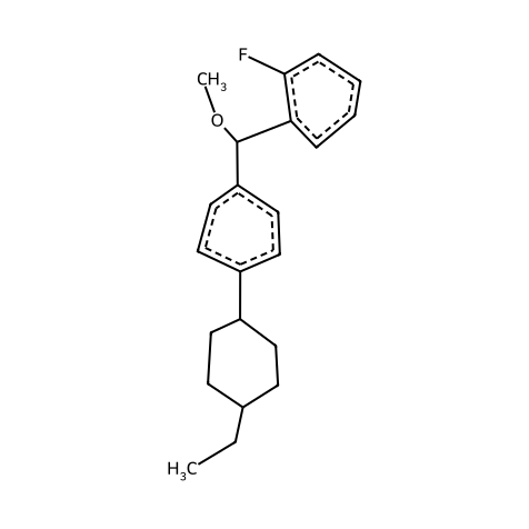 CCC1CCC(c2ccc(C(OC)c3ccccc3F)cc2)CC1